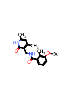 CCC(C)Oc1cccc(C(=O)NCc2c(C)cc(C)[nH]c2=O)c1C